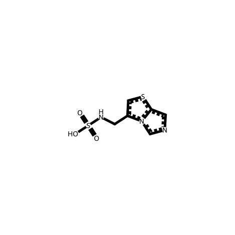 O=S(=O)(O)NCc1csc2cncn12